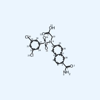 NC(=O)c1ccc2cc(N(CC(=O)O)S(=O)(=O)c3cc(Cl)cc(Cl)c3)ccc2c1